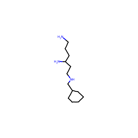 NCCCC(N)CCNCC1CCCCC1